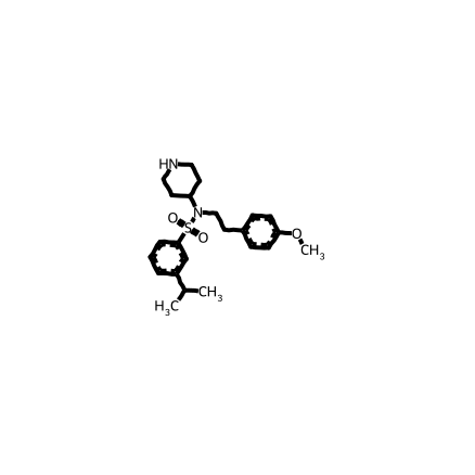 COc1ccc(CCN(C2CCNCC2)S(=O)(=O)c2cccc(C(C)C)c2)cc1